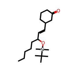 CCCCCC(C=CC1CCCC(=O)C1)O[Si](C)(C)C(C)(C)C